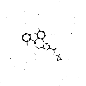 C[C@@H]1N=C(c2c(F)cccc2F)c2c(ccc(Cl)c2Cl)-n2nc(C(=O)NC3(C#N)CC3)nc21